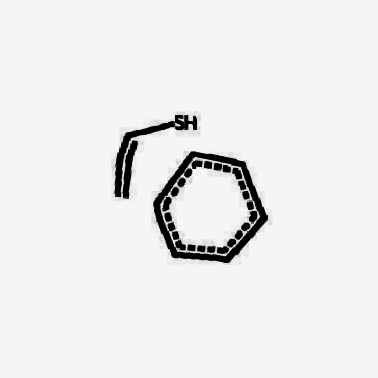 C=CS.c1ccccc1